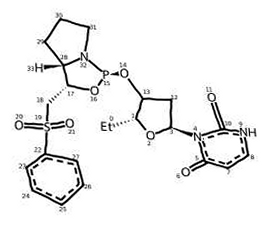 CC[C@H]1O[C@H](n2c(=O)cc[nH]c2=O)CC1O[P@@]1O[C@H](CS(=O)(=O)c2ccccc2)[C@@H]2CCCN21